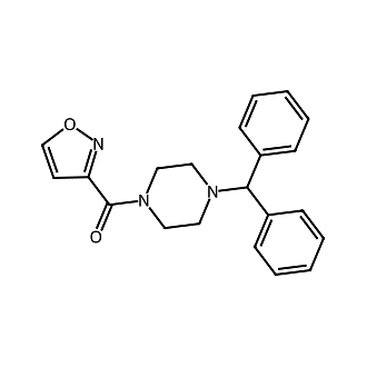 O=C(c1ccon1)N1CCN(C(c2ccccc2)c2ccccc2)CC1